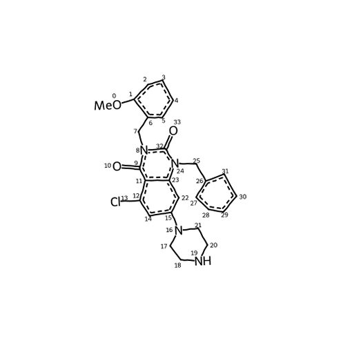 COc1ccccc1Cn1c(=O)c2c(Cl)cc(N3CCNCC3)cc2n(Cc2ccccc2)c1=O